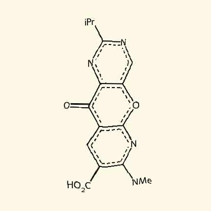 CNc1nc2oc3cnc(C(C)C)nc3c(=O)c2cc1C(=O)O